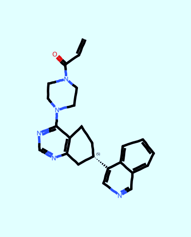 C=CC(=O)N1CCN(c2ncnc3c2CC[C@H](c2cncc4ccccc24)C3)CC1